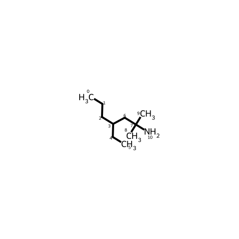 CCCC(CC)CC(C)(C)N